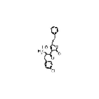 CC(Cc1ccc(Cl)cc1)C(=O)C1=C(O)C(CCc2ccccc2)OC1=O